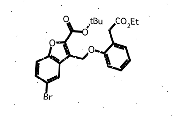 CCOC(=O)Cc1ccccc1OCc1c(C(=O)OC(C)(C)C)oc2ccc(Br)cc12